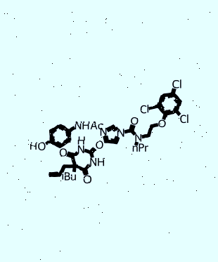 C=CCC1(C(C)CC)C(=O)NC(=O)NC1=O.CC(=O)Nc1ccc(O)cc1.CCCN(CCOc1c(Cl)cc(Cl)cc1Cl)C(=O)n1ccnc1